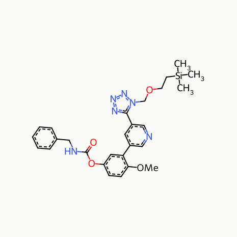 COc1ccc(OC(=O)NCc2ccccc2)cc1-c1cncc(-c2nnnn2COCC[Si](C)(C)C)c1